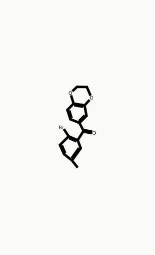 Cc1ccc(Br)c(C(=O)c2ccc3c(c2)OCCO3)c1